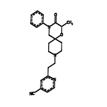 CC1OC2(CCN(CCc3cc(C#N)ccn3)CC2)CN(c2ccccc2)C1=O